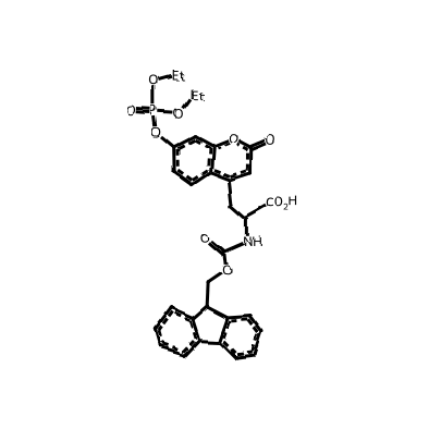 CCOP(=O)(OCC)Oc1ccc2c(CC(NC(=O)OCC3c4ccccc4-c4ccccc43)C(=O)O)cc(=O)oc2c1